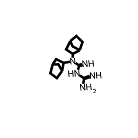 N=C(N)NC(=N)N(C1CC2CCC1C2)C1CC2CCC1C2